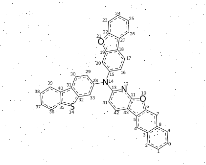 c1ccc2cc3c(cc2c1)oc1nc(N(c2ccc4c(c2)oc2ccccc24)c2ccc4c(c2)sc2ccccc24)ccc13